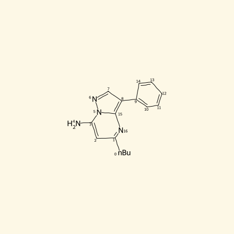 CCCCc1cc(N)n2ncc(-c3ccccc3)c2n1